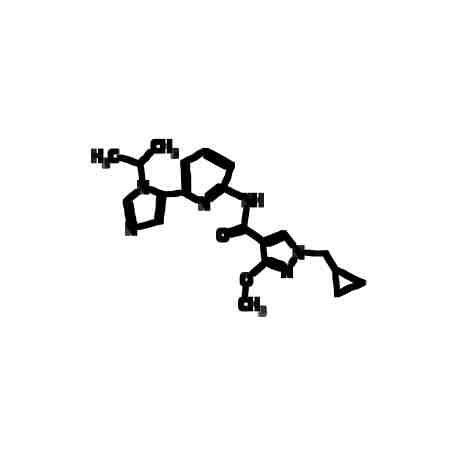 COc1nn(CC2CC2)cc1C(=O)Nc1cccc(-c2cncn2C(C)C)n1